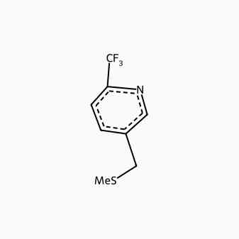 [CH2]SCc1ccc(C(F)(F)F)nc1